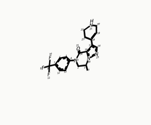 CC1CN(c2ccc(C(F)(F)F)cc2)C(=O)c2c(C3=CCNCC3)cnn21